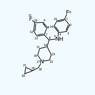 Fc1ccc(NC(c2ccc(F)cc2)C2CCN(CC3CC3)CC2)cc1